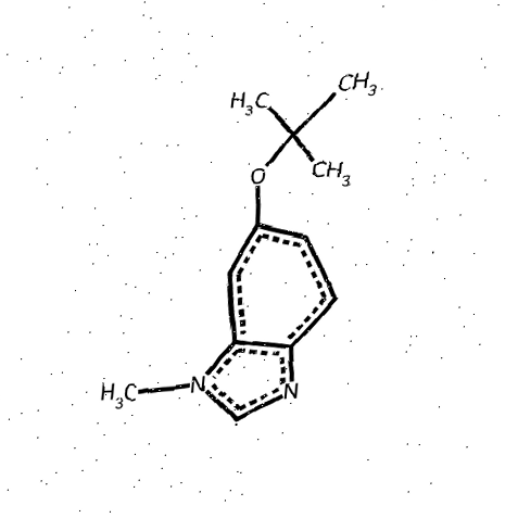 Cn1[c]nc2ccc(OC(C)(C)C)cc21